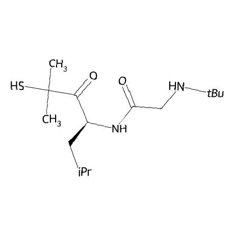 CC(C)C[C@H](NC(=O)CNC(C)(C)C)C(=O)C(C)(C)S